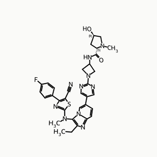 CCc1nc2ccc(-c3cnc(N4CC(NC(=O)[C@@H]5C[C@@H](O)CN5C)C4)nc3)cn2c1N(C)c1nc(-c2ccc(F)cc2)c(C#N)s1